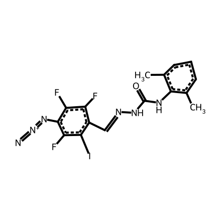 Cc1cccc(C)c1NC(=O)N/N=C/c1c(F)c(F)c(N=[N+]=[N-])c(F)c1I